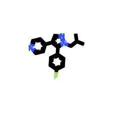 CC(C)Cn1ncc(-c2ccncc2)c1-c1ccc(F)cc1